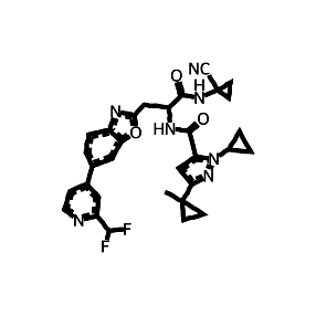 CC1(c2cc(C(=O)NC(Cc3nc4ccc(-c5ccnc(C(F)F)c5)cc4o3)C(=O)NC3(C#N)CC3)n(C3CC3)n2)CC1